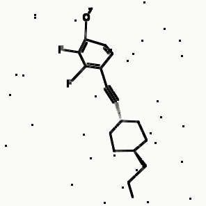 CCC[C@H]1CC[C@H](C#Cc2ccc(OC)c(F)c2F)CC1